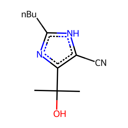 CCCCc1nc(C(C)(C)O)c(C#N)[nH]1